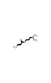 CC=CC(=O)OCCCN(C)C